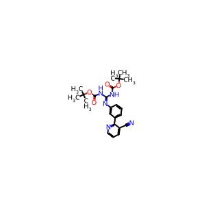 CC(C)(C)OC(=O)NC(=Nc1cccc(-c2ncccc2C#N)c1)NC(=O)OC(C)(C)C